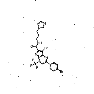 O=C(NCCCn1ccnc1)c1nn2c(C(F)(F)F)cc(-c3ccc(Br)cc3)nc2c1Br